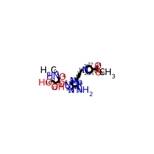 CCNC(=O)[C@@H](OCn1cnc2c(N)nc(C#CCN3CCC(C(=O)OC)CC3)nc21)C(O)CO